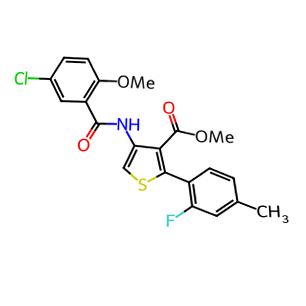 COC(=O)c1c(NC(=O)c2cc(Cl)ccc2OC)csc1-c1ccc(C)cc1F